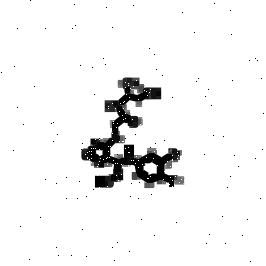 C[C@@H](CO)NC(=O)CSc1nonc1/C(=N\O)Nc1ccc(F)c(Br)c1